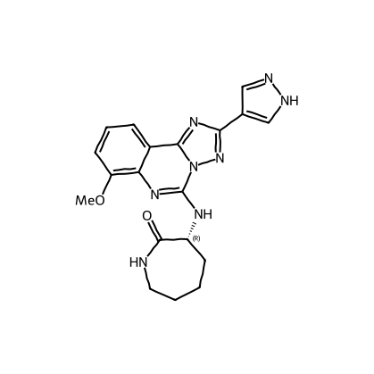 COc1cccc2c1nc(N[C@@H]1CCCCNC1=O)n1nc(-c3cn[nH]c3)nc21